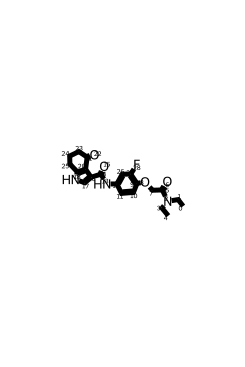 CCN(CC)C(=O)COc1ccc(NC(=O)c2c[nH]c3c2C(=O)CCC3)cc1F